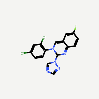 Fc1ccc2c(c1)=CN(c1ccc(Cl)cc1Cl)C(n1cncn1)N=2